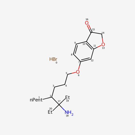 Br.CCCCCC(CCCOc1ccc2c(c1)OCC2=O)C(N)(CC)CC